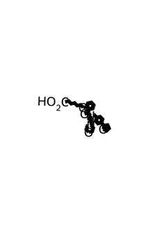 O=C(O)CCCCCOc1ccccc1C(=O)N(CCN1CCOCC1)Cc1ccc(-c2ccco2)cc1